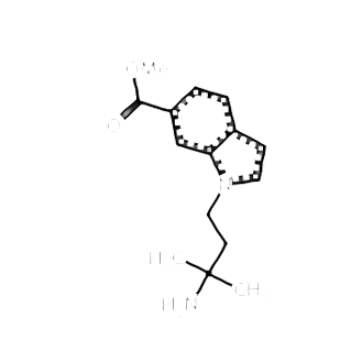 COC(=O)c1ccc2ccn(CCC(C)(C)N)c2c1